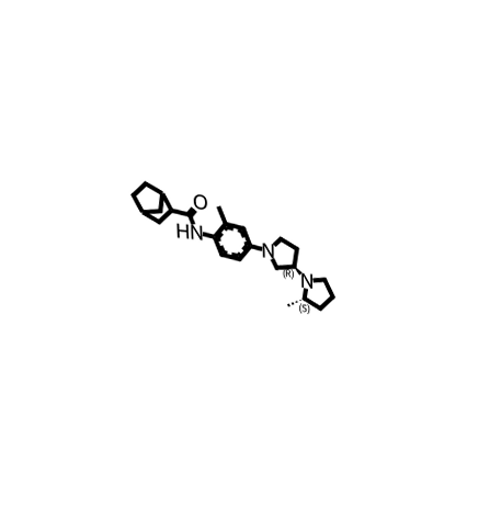 Cc1cc(N2CC[C@@H](N3CCC[C@@H]3C)C2)ccc1NC(=O)C1CC2CCC1C2